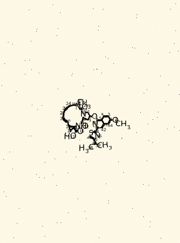 COc1ccc2c(OC3CC4C(=O)NC5(C(=O)O)CC5/C=C/CCCCN(C)C(=O)N4C3)nc(-c3nc(C(C)C)cs3)cc2c1